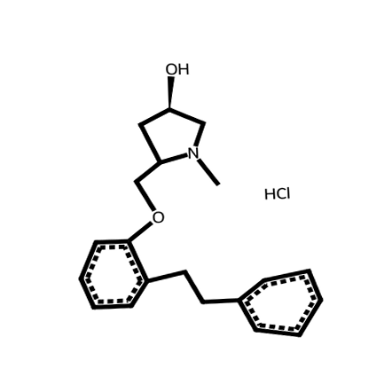 CN1C[C@H](O)CC1COc1ccccc1CCc1ccccc1.Cl